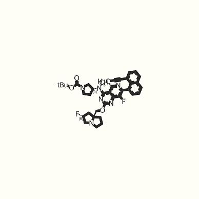 CC#Cc1cccc2cccc(-c3ncc4c(N(C)[C@@H]5CCN(C(=O)OC(C)(C)C)C5)nc(OC[C@@]56CCCN5C[C@H](F)C6)nc4c3F)c12